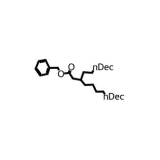 CCCCCCCCCCCCCCC(CCCCCCCCCCCC)CC(=O)OCc1ccccc1